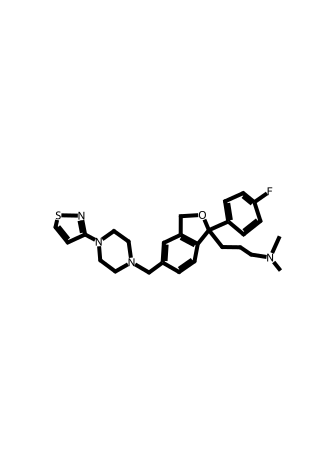 CN(C)CCCC1(c2ccc(F)cc2)OCc2cc(CN3CCN(c4ccsn4)CC3)ccc21